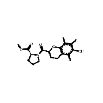 COC(=O)[C@@H]1CCCN1C(=O)C1CCc2c(C)c(O)c(C)c(C)c2O1